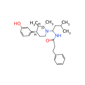 CC(C)CC(NC(=O)CCc1ccccc1)N1CC[C@@H](c2cccc(O)c2)[C@@H](C)[C@@H]1C